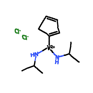 CC(C)[NH][V+2]([NH]C(C)C)[C]1=CC=CC1.[Cl-].[Cl-]